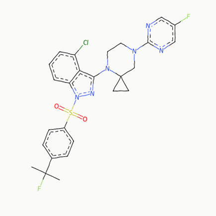 CC(C)(F)c1ccc(S(=O)(=O)n2nc(N3CCN(c4ncc(F)cn4)CC34CC4)c3c(Cl)cccc32)cc1